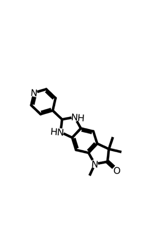 CN1C(=O)C(C)(C)c2cc3c(cc21)NC(c1ccncc1)N3